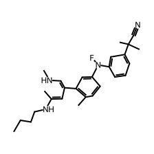 CCCCN/C(C)=C/C(=C\NC)c1cc(N(F)c2cccc(C(C)(C)C#N)c2)ccc1C